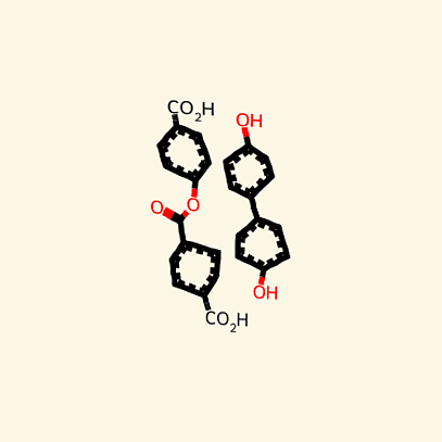 O=C(O)c1ccc(OC(=O)c2ccc(C(=O)O)cc2)cc1.Oc1ccc(-c2ccc(O)cc2)cc1